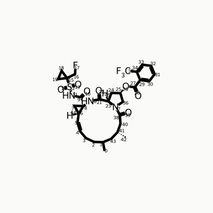 CC1CC/C=C\[C@@H]2C[C@@]2(C(=O)NS(=O)(=O)C2(CF)CC2)NC(=O)[C@@H]2C[C@@H](OC(=O)c3ccccc3C(F)(F)F)CN2C(=O)C[C@H](C)C1